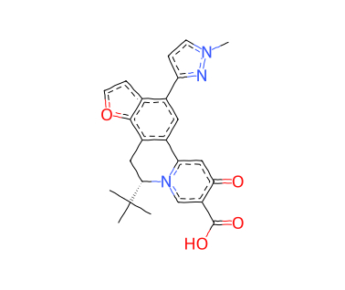 Cn1ccc(-c2cc3c(c4occc24)C[C@@H](C(C)(C)C)n2cc(C(=O)O)c(=O)cc2-3)n1